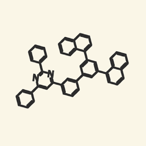 c1ccc(-c2cc(-c3cccc(-c4cc(-c5cccc6ccccc56)cc(-c5cccc6ccccc56)c4)c3)nc(-c3ccccc3)n2)cc1